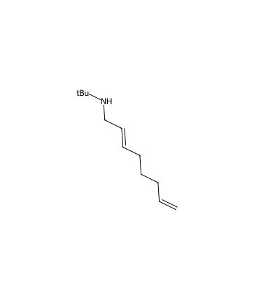 C=CCCC/C=C/CNC(C)(C)C